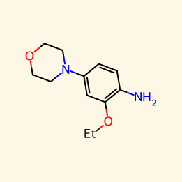 CCOc1cc(N2CCOCC2)ccc1N